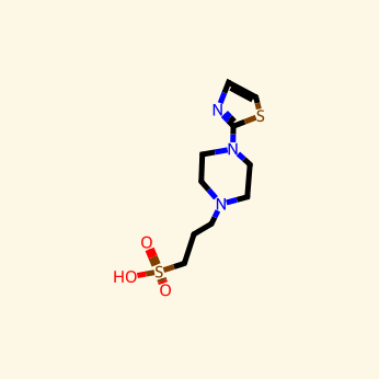 O=S(=O)(O)CCCN1CCN(c2nccs2)CC1